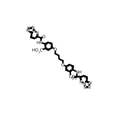 O=C(Nc1ccc(OCCCCOc2ccc(NC(=O)c3ccc4nnnn4n3)c(C(=O)O)c2)cc1C(=O)O)c1ccc2nnnn2n1